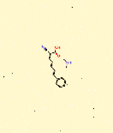 CNC.N#CC(=CC=CC=Cc1ccccc1)C(=O)O